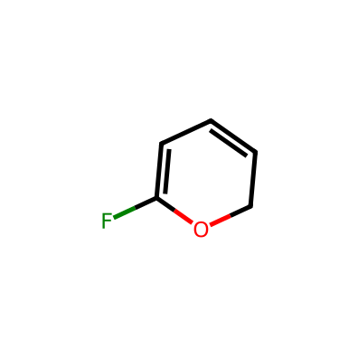 FC1=CC=CCO1